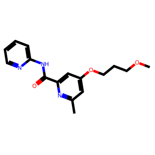 COCCCOc1cc(C)nc(C(=O)Nc2ccccn2)c1